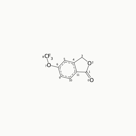 O=C1OCc2cc(OC(F)(F)F)ccc21